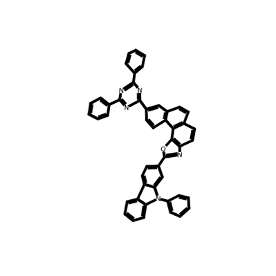 c1ccc(-c2nc(-c3ccccc3)nc(-c3ccc4c(ccc5ccc6nc(-c7ccc8c9ccccc9n(-c9ccccc9)c8c7)oc6c54)c3)n2)cc1